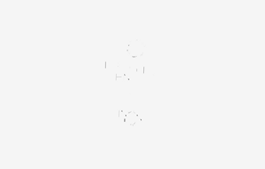 CC(C)(NCCCc1ncc[nH]1)c1ccccc1